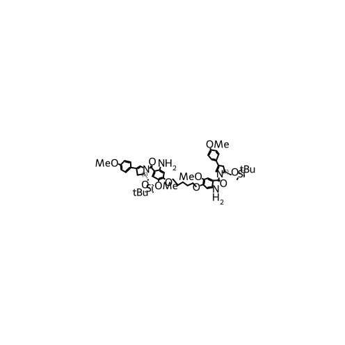 COc1ccc(C2=CN(C(=O)c3cc(OC)c(OCCCCCOc4cc(N)c(C(=O)N5C=C(c6ccc(OC)cc6)C[C@H]5CO[Si](C)(C)C(C)(C)C)cc4OC)cc3N)[C@H](CO[Si](C)(C)C(C)(C)C)C2)cc1